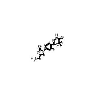 CC1(C)SC(c2ccc(N3CC(CN)OC3=O)cc2F)=NNC1=O